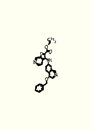 CCOC(=O)c1oc2cnccc2c1Nc1ccc2c(OCc3ccccc3)cncc2c1